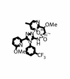 COc1cccc(-c2nnc(NS(=O)(=O)[C@@H](C)[C@H](OC)c3ncc(C)cn3)n2-c2cccc(C(F)(F)F)c2)n1